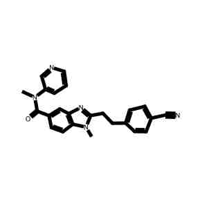 CN(C(=O)c1ccc2c(c1)nc(CCc1ccc(C#N)cc1)n2C)c1cccnc1